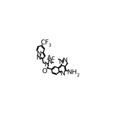 CC(=O)N(C)N(Cc1cc2cc(C(F)(F)F)ccn2n1)C(=O)c1ccc2nc(N)c3cnn(C)c3c2c1